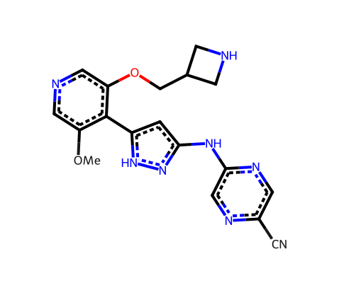 COc1cncc(OCC2CNC2)c1-c1cc(Nc2cnc(C#N)cn2)n[nH]1